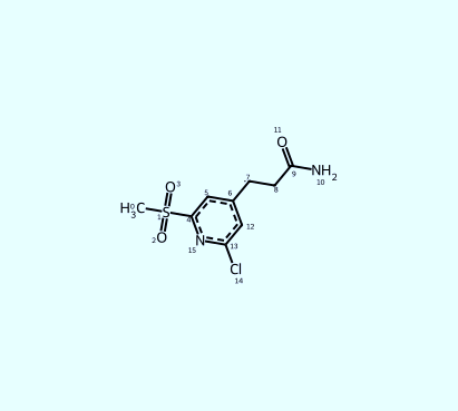 CS(=O)(=O)c1cc([CH]CC(N)=O)cc(Cl)n1